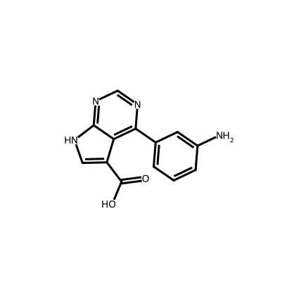 Nc1cccc(-c2ncnc3[nH]cc(C(=O)O)c23)c1